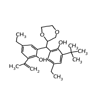 C=C(C)c1cc(CC)cc(C(c2cc(CC)cc(C(C)(C)C)c2O)C2COCCO2)c1O